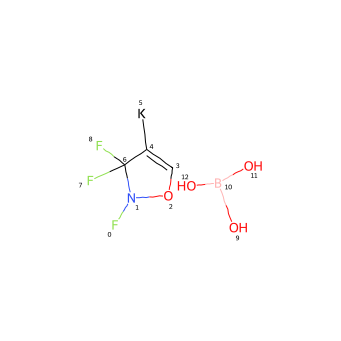 FN1OC=[C]([K])C1(F)F.OB(O)O